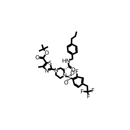 CCCc1ccc(CNC(=O)[C@H]2CN(c3nc(C)c(C(=O)OC(C)(C)C)s3)CCN2S(=O)(=O)c2ccc(CC(F)(F)F)cc2F)cc1